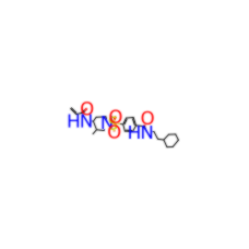 C=CC(=O)NC1CCN(S(=O)(=O)c2ccc(C(=O)NCCC3CCCCC3)cc2)CC1C